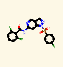 O=C(Nc1cc2c(cn1)cnn2S(=O)(=O)c1ccc(F)cc1)c1c(F)cccc1F